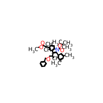 CCOC(=O)C(C)(C)c1ccc2c(c1)c(C(C)COCc1ccccc1)c(-c1cc(C)cc(C)c1)n2C(=O)OC(C)(C)C